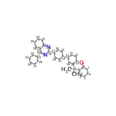 CC1(C)c2ccccc2Oc2ccc(-c3ccc(-c4nc(-c5ccccc5)c5ccccc5n4)cc3)cc21